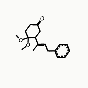 COC1(OC)CCC(=O)CC1C(C)=CCc1ccccc1